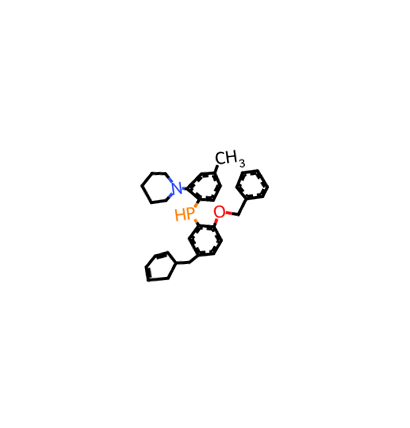 Cc1ccc(Pc2cc(CC3C=CC=CC3)ccc2OCc2ccccc2)c(N2CCCCC2)c1